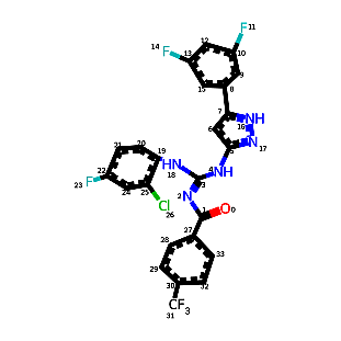 O=C(/N=C(\Nc1cc(-c2cc(F)cc(F)c2)[nH]n1)Nc1ccc(F)cc1Cl)c1ccc(C(F)(F)F)cc1